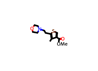 COC(=O)c1csc(CCN2CCOCC2)c1C